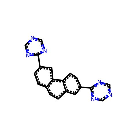 c1ncnc(-c2ccc3c(ccc4ccc(-c5ncncn5)cc43)c2)n1